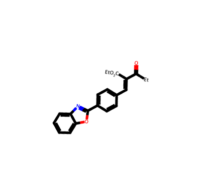 CCOC(=O)/C(=C\c1ccc(-c2nc3ccccc3o2)cc1)C(=O)CC